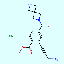 COC(=O)c1ccc(C(=O)N2CC3(CNC3)C2)cc1C#CCN.Cl.Cl